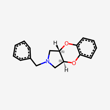 c1ccc(CN2C[C@@H]3Oc4ccccc4O[C@H]3C2)cc1